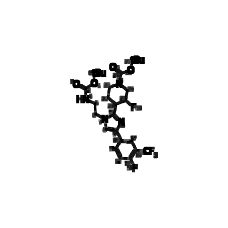 CC(C)(C)OC(=O)NCCn1cc(-c2ccc(F)c(C(F)(F)F)c2)nc1C1CCN(C(=O)OC(C)(C)C)CC1F